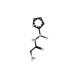 CC[C@H](C)CC(=O)N[S+]([O-])c1cccs1